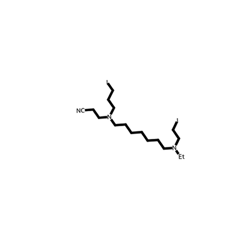 CCN(CCI)CCCCCCCN(CCC#N)CCCI